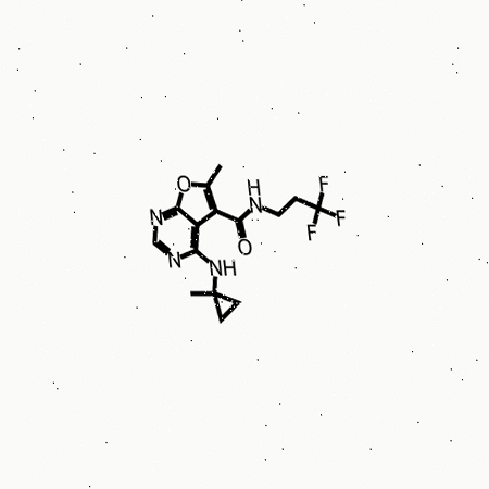 Cc1oc2ncnc(NC3(C)CC3)c2c1C(=O)NCCC(F)(F)F